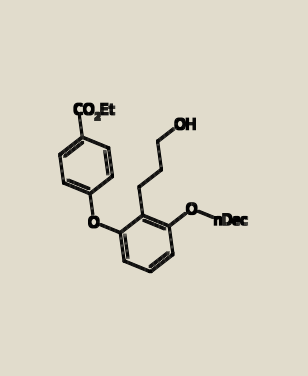 CCCCCCCCCCOc1cccc(Oc2ccc(C(=O)OCC)cc2)c1CCCO